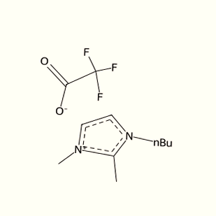 CCCCn1cc[n+](C)c1C.O=C([O-])C(F)(F)F